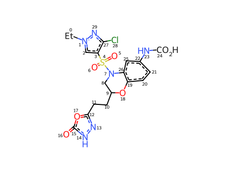 CCn1cc(S(=O)(=O)N2CC(CCc3n[nH]c(=O)o3)Oc3ccc(NC(=O)O)cc32)c(Cl)n1